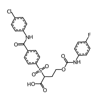 O=C(Nc1ccc(F)cc1)OCCC(C(=O)O)S(=O)(=O)c1ccc(C(=O)Nc2ccc(Cl)cc2)cc1